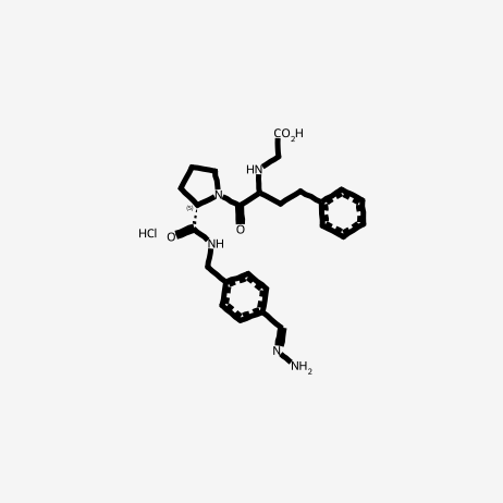 Cl.NN=Cc1ccc(CNC(=O)[C@@H]2CCCN2C(=O)C(CCc2ccccc2)NCC(=O)O)cc1